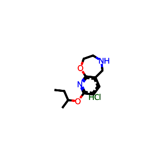 CCC(C)Oc1ccc2c(n1)OCCNC2.Cl